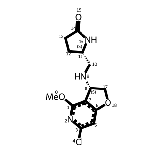 COc1nc(Cl)cc2c1[C@H](NC[C@@H]1CCC(=O)N1)CO2